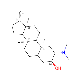 CC(=O)[C@H]1CCC2[C@@H]3CCC4C[C@H](O)C(N(C)C)C[C@]4(C)C3CC[C@@]21C